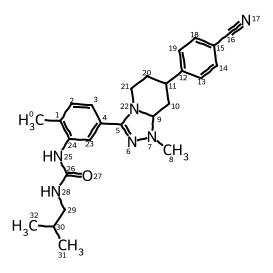 Cc1ccc(C2=NN(C)C3CC(c4ccc(C#N)cc4)CCN23)cc1NC(=O)NCC(C)C